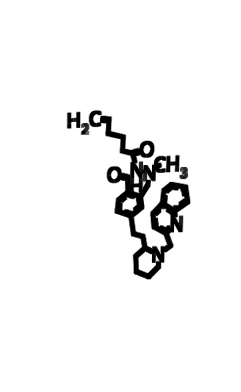 C=CCCCC(=O)NN(C)Cc1cc(CCC2CCCCN2Cc2ccc3ccccc3n2)ccc1C=O